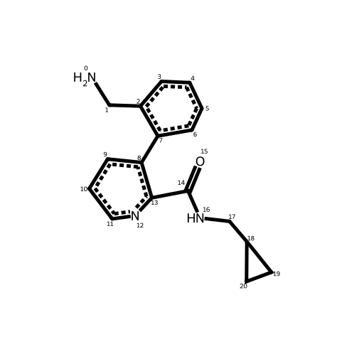 NCc1ccccc1-c1cccnc1C(=O)NCC1CC1